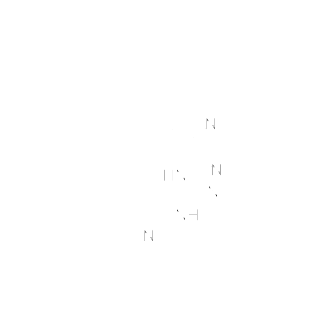 Cc1cccnc1-c1nnc(Nc2ccccn2)[nH]1